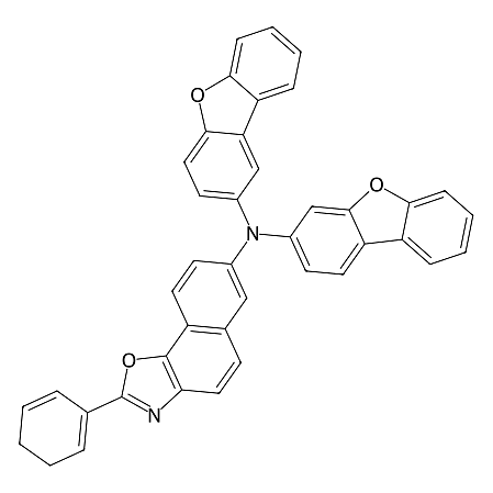 C1=CC(c2nc3ccc4cc(N(c5ccc6c(c5)oc5ccccc56)c5ccc6oc7ccccc7c6c5)ccc4c3o2)=CCC1